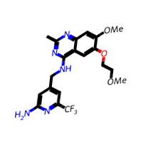 COCCOc1cc2c(NCc3cc(N)nc(C(F)(F)F)c3)nc(C)nc2cc1OC